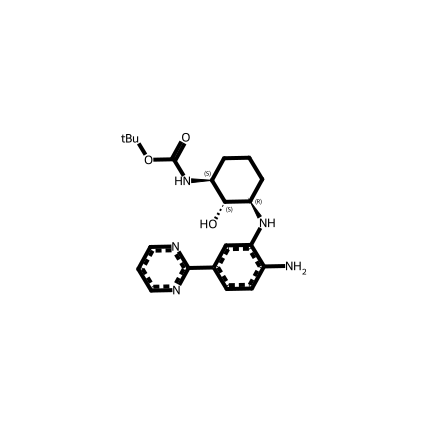 CC(C)(C)OC(=O)N[C@H]1CCC[C@@H](Nc2cc(-c3ncccn3)ccc2N)[C@@H]1O